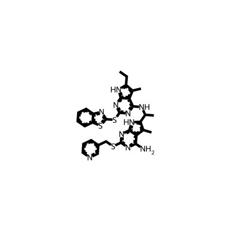 CCc1[nH]c2nc(Sc3nc4ccccc4s3)nc(NC(C)c3[nH]c4nc(SCc5cccnc5)nc(N)c4c3C)c2c1C